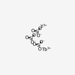 O=[Si]([O-])[O-].O=[Si]([O-])[O-].O=[Si]([O-])[O-].[Tb+3].[Y+3]